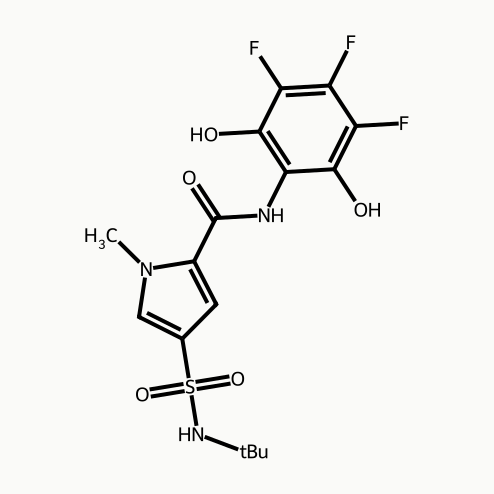 Cn1cc(S(=O)(=O)NC(C)(C)C)cc1C(=O)Nc1c(O)c(F)c(F)c(F)c1O